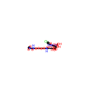 O=C(CCCCCCO[C@]1(C(=O)O)C[C@H](O)[C@@H](NC(=O)CO)[C@H]([C@H](O)[C@H](O)CNC(=O)Cc2ccc(Cl)cc2)O1)NCCOCCOCCOCCOCCNC(=O)CCN1C(=O)C=CC1=O